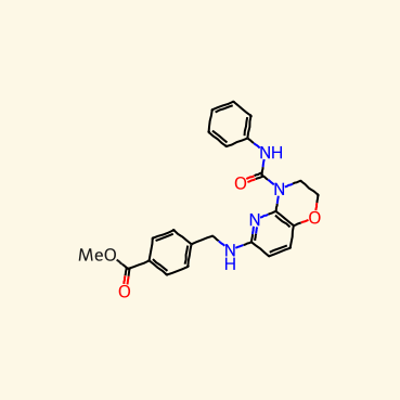 COC(=O)c1ccc(CNc2ccc3c(n2)N(C(=O)Nc2ccccc2)CCO3)cc1